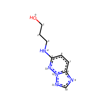 OCCCNc1ccc2ncnn2n1